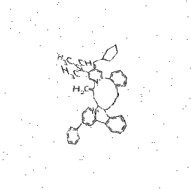 C=C1CC2C(CCc3ccccc3-c3cc(CC4CCCC4)c([Si](C)(C)C)c[n+]31)c1ccccc1-c1cc(-c3ccccc3)cc[n+]12